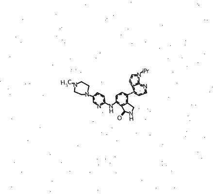 CC(C)n1ccc2c(-c3ccc(Nc4ccc(N5CCN(C)CC5)cn4)c4c3CNC4=O)ccnc21